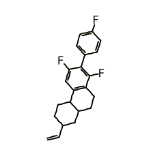 C=CC1CCC2c3cc(F)c(-c4ccc(F)cc4)c(F)c3CCC2C1